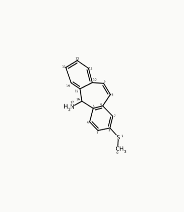 CSc1ccc2c(c1)C=Cc1ccccc1C2N